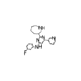 Fc1cccc(Nc2cc(-c3cccnc3)nc(C3CCCCNC3)n2)c1